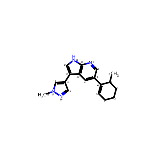 CC1CCCC=C1c1cnc2[nH]cc(-c3cnn(C)c3)c2c1